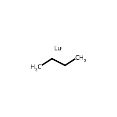 CCCC.[Lu]